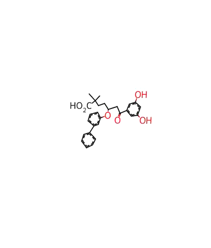 CC(C)(CCC(CC(=O)c1cc(O)cc(O)c1)Oc1cccc(-c2ccccc2)c1)C(=O)O